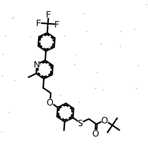 Cc1cc(OCCc2ccc(-c3ccc(C(F)(F)F)cc3)nc2C)ccc1SCC(=O)OC(C)(C)C